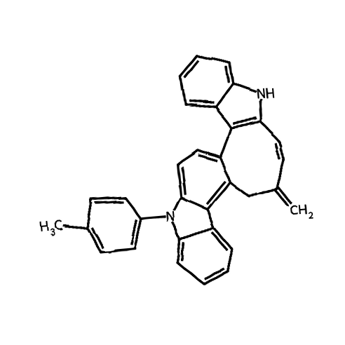 C=C1/C=C\c2[nH]c3ccccc3c2-c2ccc3c(c2C1)c1ccccc1n3-c1ccc(C)cc1